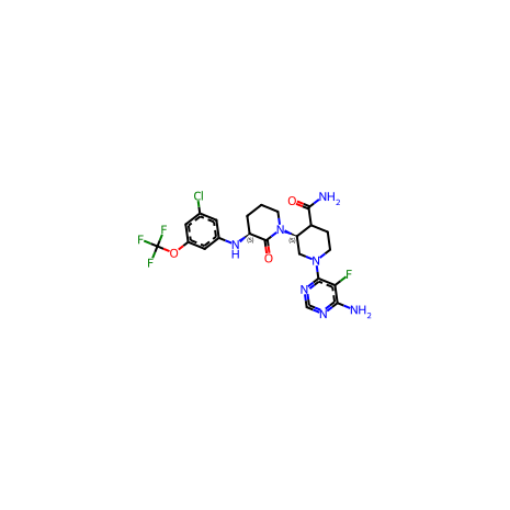 NC(=O)C1CCN(c2ncnc(N)c2F)C[C@H]1N1CCC[C@H](Nc2cc(Cl)cc(OC(F)(F)F)c2)C1=O